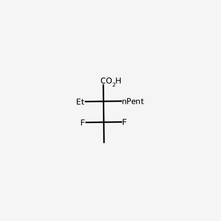 CCCCCC(CC)(C(=O)O)C(C)(F)F